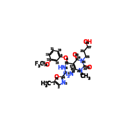 Cc1cnc(CN[C@H](Oc2cccc(OC(F)(F)F)c2)c2c(N)n(C)c(=O)n(CCCO)c2=O)o1